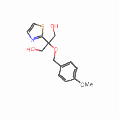 COc1ccc(COC(CO)(CO)c2nccs2)cc1